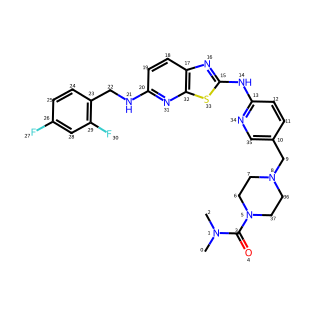 CN(C)C(=O)N1CCN(Cc2ccc(Nc3nc4ccc(NCc5ccc(F)cc5F)nc4s3)nc2)CC1